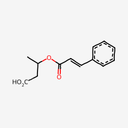 CC(CC(=O)O)OC(=O)/C=C/c1ccccc1